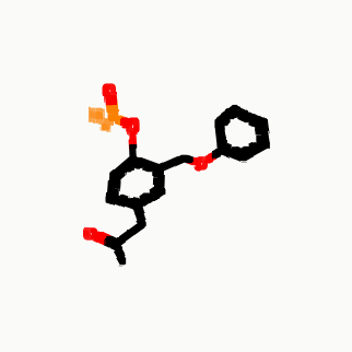 CC(=O)Cc1ccc(O[PH2]=O)c(COc2ccccc2)c1